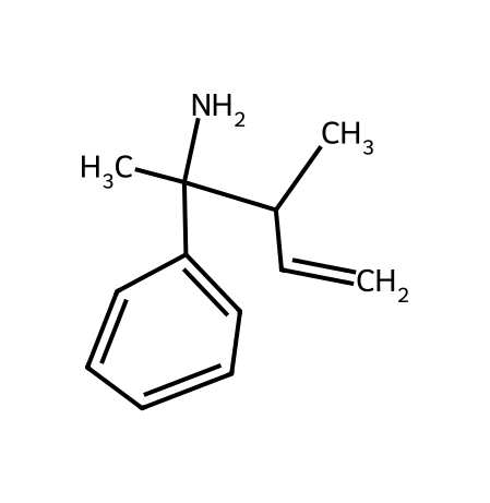 C=CC(C)C(C)(N)c1ccccc1